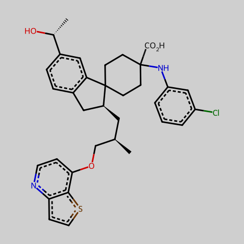 C[C@@H](COc1ccnc2ccsc12)C[C@H]1Cc2ccc([C@@H](C)O)cc2C12CCC(Nc1cccc(Cl)c1)(C(=O)O)CC2